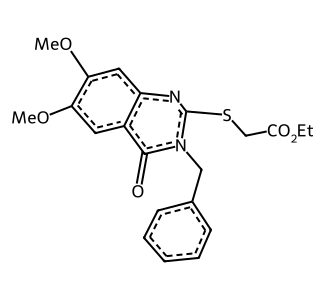 CCOC(=O)CSc1nc2cc(OC)c(OC)cc2c(=O)n1Cc1ccccc1